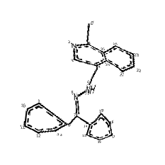 Cc1ncc(NN=C(c2ccccc2)c2ccccc2)c2ccccc12